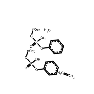 C=C.CCCCCCCCOP(=O)(O)Oc1ccccc1.CCCCCCCCOP(=O)(O)Oc1ccccc1.O